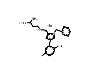 Cc1ccc(F)cc1-c1cc([C@H](NCC[C@H](N)C(=O)O)C(C)(C)C)n(Cc2ccccc2)c1